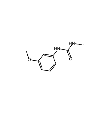 [CH2]NC(=O)Nc1cccc(OC)c1